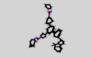 CC1(C)c2ccccc2-c2ccc(-c3cccc(-c4cc(-c5ccc(-c6nc7ccccc7o6)cc5)cc(-c5ccc(-c6nc7ccccc7o6)cc5)c4)c3)cc21